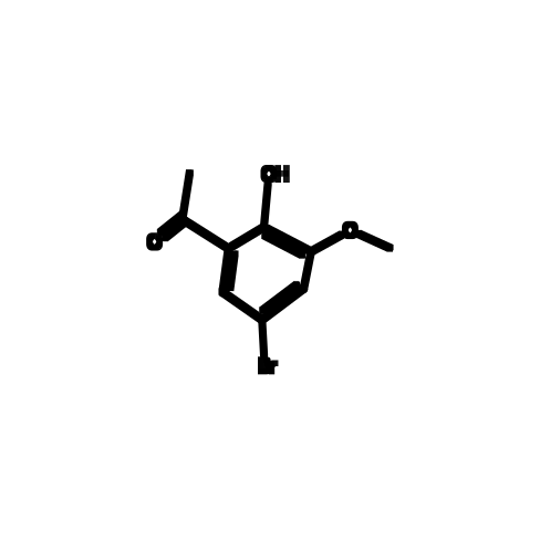 COc1cc(Br)cc(C(C)=O)c1O